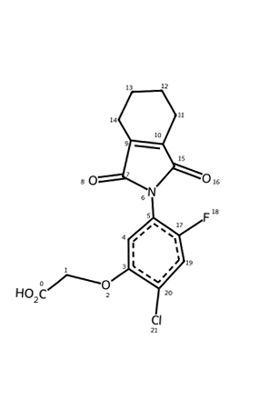 O=C(O)COc1cc(N2C(=O)C3=C(CCCC3)C2=O)c(F)cc1Cl